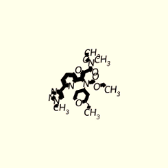 CCOC(=O)N(c1c(C(=O)N(C)OC)oc2ccc(-c3cn(C)nn3)nc12)[C@H]1CCO[C@@H](CC)C1